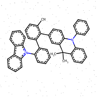 CC1(C)c2ccccc2N(c2ccccc2)c2ccc(-c3c(C#N)cccc3-c3ccccc3-n3c4ccccc4c4ccccc43)cc21